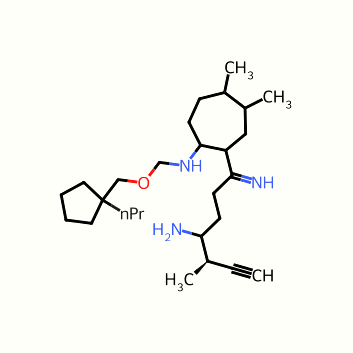 C#C[C@@H](C)C(N)CCC(=N)C1CC(C)C(C)CCC1NCOCC1(CCC)CCCC1